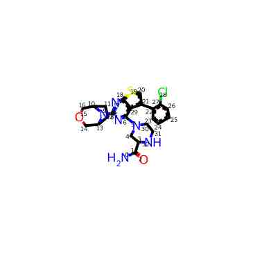 NC(=O)C1CN(c2nc(N3C4CCC3COC4)nc3scc(-c4ccccc4Cl)c23)CCN1